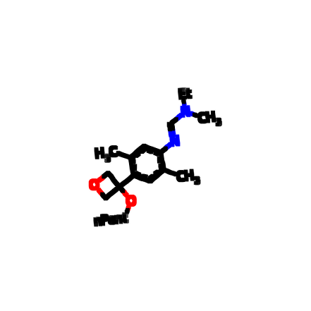 CCCCCOC1(c2cc(C)c(N=CN(C)CC)cc2C)COC1